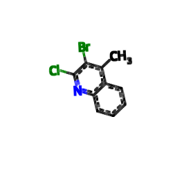 Cc1c(Br)c(Cl)nc2ccccc12